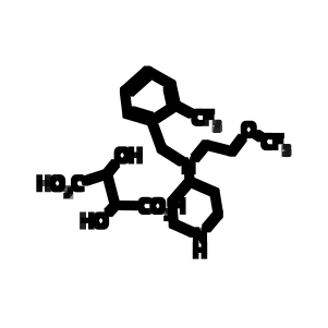 FC(F)(F)OCCN(Cc1ccccc1C(F)(F)F)C1CCNCC1.O=C(O)C(O)C(O)C(=O)O